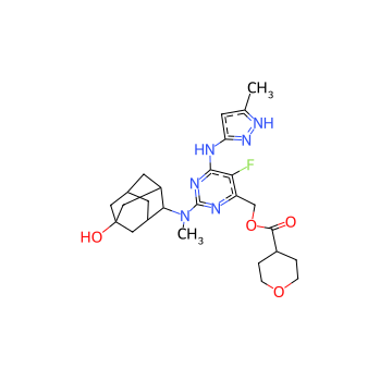 Cc1cc(Nc2nc(N(C)C3C4CC5CC3CC(O)(C5)C4)nc(COC(=O)C3CCOCC3)c2F)n[nH]1